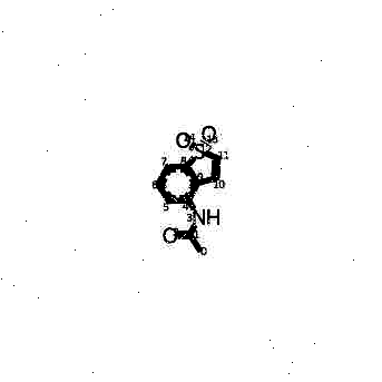 CC(=O)Nc1cccc2c1C=CS2(=O)=O